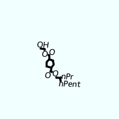 CCCCCC(CCC)COC(=O)C1CCC(C(=O)OCCO)CC1